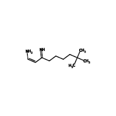 CC(C)(C)CCCCC(=N)/C=C\N